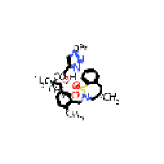 CCCn1cc(COC(c2ccc(C)c(CN3C[C@@H](C)Cc4ccccc4S3(=O)=O)c2)C(C)(C)C(=O)O)nn1